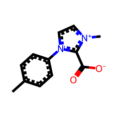 Cc1ccc(-n2cc[n+](C)c2C(=O)[O-])cc1